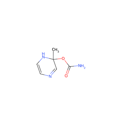 CC1(OC(N)=O)C=NC=CN1